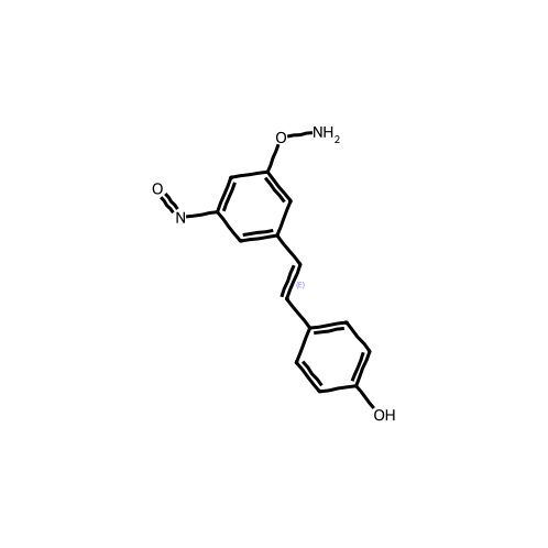 NOc1cc(/C=C/c2ccc(O)cc2)cc(N=O)c1